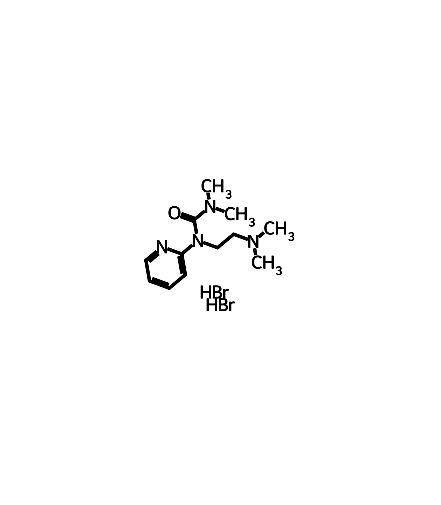 Br.Br.CN(C)CCN(C(=O)N(C)C)c1ccccn1